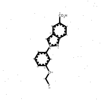 O=C(O)c1ccc2nn(-c3cccc(OCF)c3)cc2c1